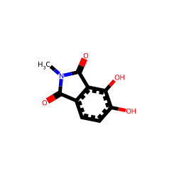 CN1C(=O)c2ccc(O)c(O)c2C1=O